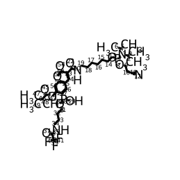 CC(C)N(C(C)C)P(OCCC#N)OCCCCCCNC(=O)c1cc2cc(P(O)OCCCCNC(=O)C(F)(F)F)c(OC(=O)C(C)(C)C)cc2oc1=O